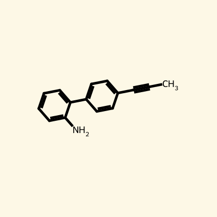 CC#Cc1ccc(-c2ccccc2N)cc1